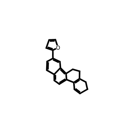 C1=CC2=C(CC1)CCc1c2ccc2ccc(-c3ccco3)cc12